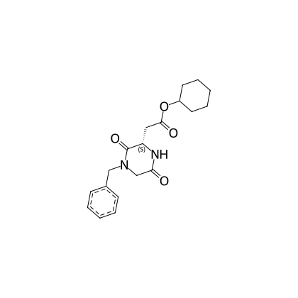 O=C1CN(Cc2ccccc2)C(=O)[C@H](CC(=O)OC2CCCCC2)N1